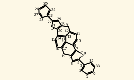 c1ccc(-c2cc3c(s2)-c2ccc4c5c(ccc(c25)C3)-c2sc(-c3ccccc3)cc2C4)cc1